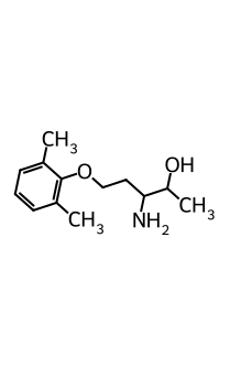 Cc1cccc(C)c1OCCC(N)C(C)O